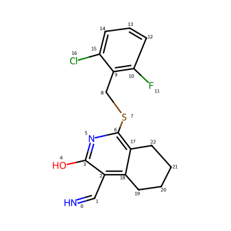 N=Cc1c(O)nc(SCc2c(F)cccc2Cl)c2c1CCCC2